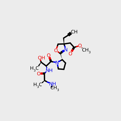 C#CC[C@]1(CC(=O)OC)COC([C@@H]2CCCN2C(=O)[C@@H](NC(=O)[C@H](C)NC)[C@@H](C)O)=N1